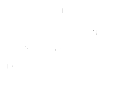 COc1ncc(Cc2c(Cl)cc(N=C(c3ccccc3)c3ccccc3)cc2Cl)cc1C(C)C